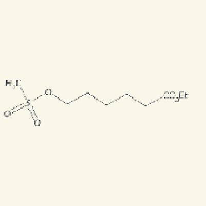 CCOC(=O)CCCCCOS(C)(=O)=O